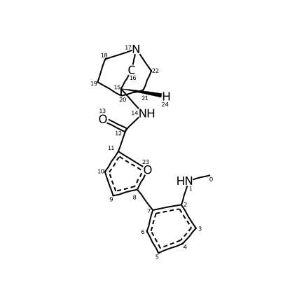 CNc1ccccc1-c1ccc(C(=O)N[C@H]2CN3CCC2CC3)o1